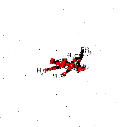 CCCCCCCCCCCCOc1c(C)c(-c2ccccc2)c2nonc2c1-c1cc2c(CCCCCCCC)c3sc(-c4c(C)c(OCCCCCCCCCCCC)c(-c5cc6sc(-c7ccccc7)cc6s5)c5nonc45)cc3c(CCCCCCCC)c2s1